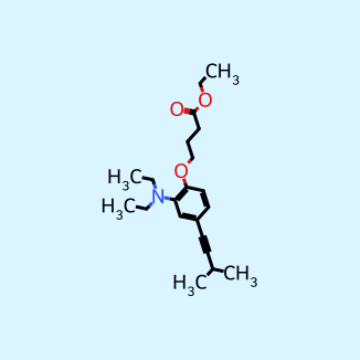 CCOC(=O)CCCOc1ccc(C#CC(C)C)cc1N(CC)CC